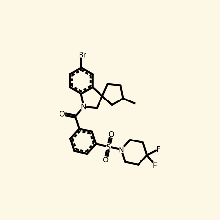 CC1CCC2(C1)CN(C(=O)c1cccc(S(=O)(=O)N3CCC(F)(F)CC3)c1)c1ccc(Br)cc12